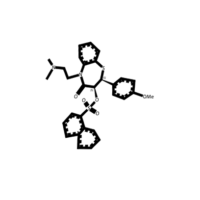 COc1ccc([C@@H]2Sc3ccccc3N(CCN(C)C)C(=O)[C@@H]2OS(=O)(=O)c2cccc3ccccc23)cc1